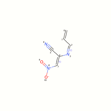 C=C/C=N\C(C#N)=C\[N+](=O)[O-]